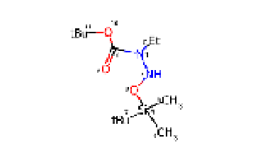 CCN(NO[Si](C)(C)C(C)(C)C)C(=O)OC(C)(C)C